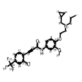 CCCN(CCOc1ccc(NC(=O)C#Cc2ccc(C(F)(F)F)cc2Cl)cc1OC)CC1CC1